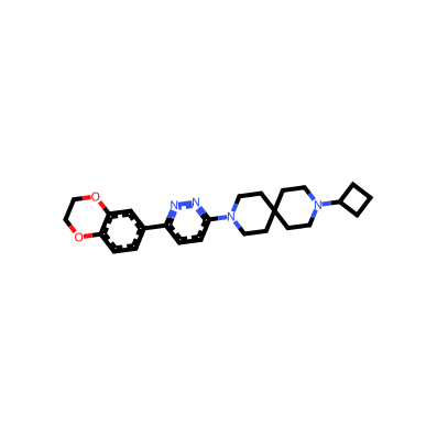 c1cc2c(cc1-c1ccc(N3CCC4(CC3)CCN(C3CCC3)CC4)nn1)OCCO2